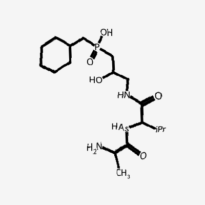 CC(N)C(=O)[AsH]C(C(=O)NCC(O)CP(=O)(O)CC1CCCCC1)C(C)C